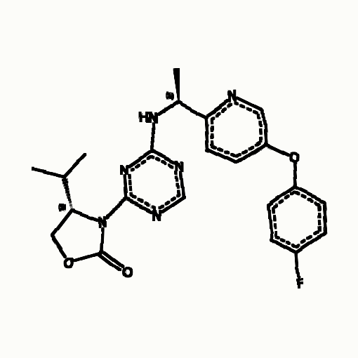 CC(C)[C@H]1COC(=O)N1c1ncnc(N[C@@H](C)c2ccc(Oc3ccc(F)cc3)cn2)n1